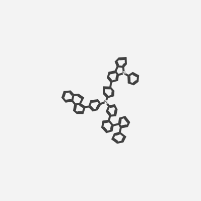 c1ccc(-c2ccccc2-c2ccccc2-c2cccc(N(c3ccc(-c4ccc5c6ccccc6n(-c6ccccc6)c5c4)cc3)c3ccc(-c4cccc5c4ccc4ccccc45)cc3)c2)cc1